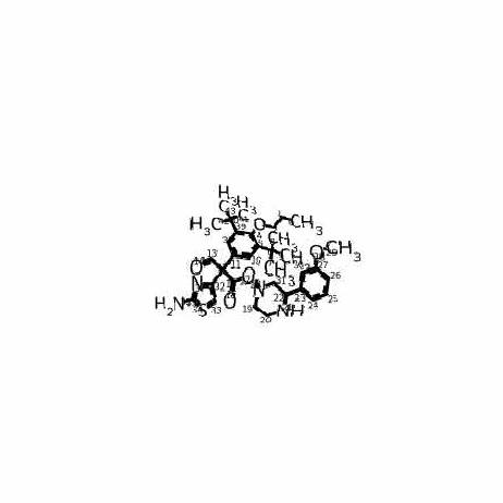 CCCOc1c(C(C)(C)C)cc(C(C=O)(C(=O)ON2CCNC(c3cccc(OC)c3)C2)c2csc(N)n2)cc1C(C)(C)C